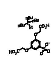 CCCC[P+](CC)(CCCC)CCCC.O=C(O)COc1cc(OCC(=O)O)cc(S(=O)(=O)[O-])c1